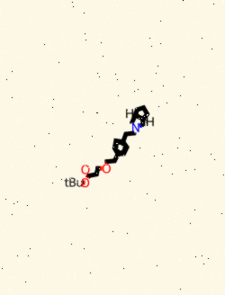 CC(C)(C)OC(=O)CCOCCc1ccc(CCN2C[C@H]3CCC[C@H]3C2)cc1